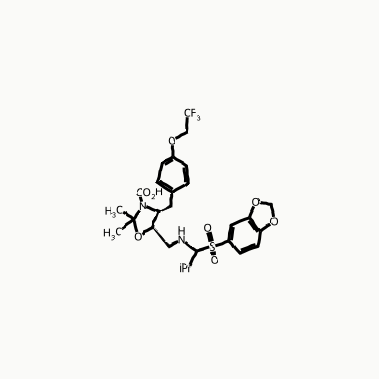 CC(C)C(NC[C@H]1OC(C)(C)N(C(=O)O)[C@H]1Cc1ccc(OCC(F)(F)F)cc1)S(=O)(=O)c1ccc2c(c1)OCO2